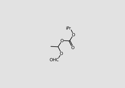 CC(C)OC(=O)OC(C)OC=O